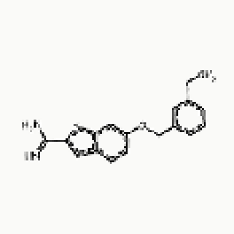 N=C(N)c1cc2ccc(OCc3cccc(CN)c3)cc2s1